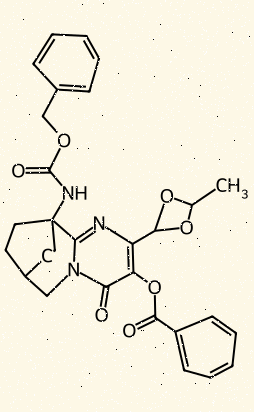 CC1OC(c2nc3n(c(=O)c2OC(=O)c2ccccc2)CC2CCC3(NC(=O)OCc3ccccc3)CC2)O1